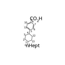 CCCCCCCC1CCC(c2ccc(C(=O)O)cc2)CC1